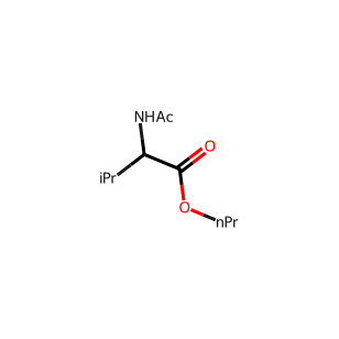 CCCOC(=O)C(NC(C)=O)C(C)C